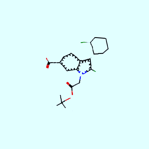 CC(C)(C)OC(=O)Cn1c(Br)c([C@H]2CCCC[C@@H]2F)c2ccc(C(=O)O)cc21